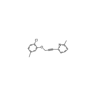 Cc1ccc(Cl)c(OCC#Cc2cccc(C)n2)c1